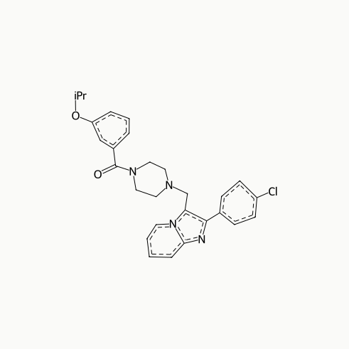 CC(C)Oc1cccc(C(=O)N2CCN(Cc3c(-c4ccc(Cl)cc4)nc4ccccn34)CC2)c1